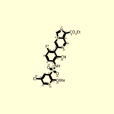 CCOC(=O)c1ncn2cc(-c3c(F)ccc(NS(=O)(=O)c4cc(Cl)cnc4OC)c3C#N)ncc12